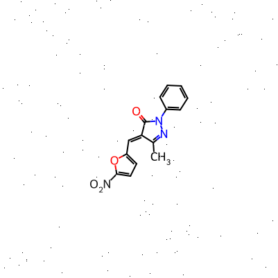 CC1=NN(c2ccccc2)C(=O)/C1=C/c1ccc([N+](=O)[O-])o1